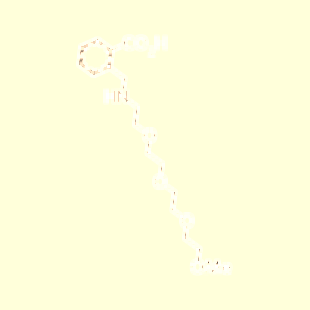 COCCOCCOCCOCCNCc1ccccc1C(=O)O